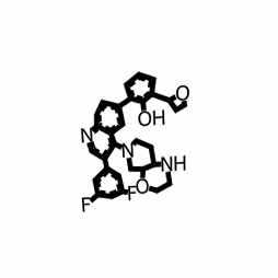 Oc1c(-c2ccc3ncc(-c4cc(F)cc(F)c4)c(N4CCC5NCCOC5C4)c3c2)cccc1C1CCO1